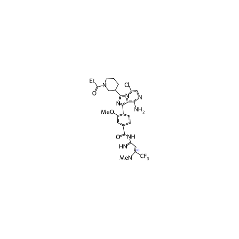 CCC(=O)N1CCCC(c2nc(-c3ccc(C(=O)NC(=N)/C=C(\NC)C(F)(F)F)cc3OC)c3c(N)ncc(Cl)n23)C1